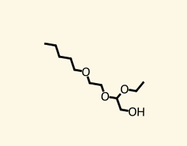 CCCCCOCCOC(CO)OCC